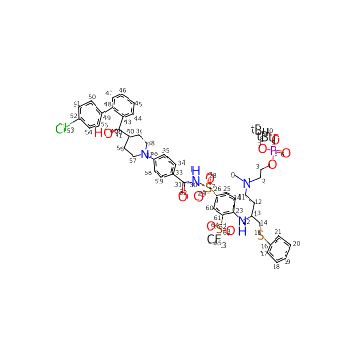 CN(CCOP(=O)(OC(C)(C)C)OC(C)(C)C)CCC(CSc1ccccc1)Nc1ccc(S(=O)(=O)NC(=O)c2ccc(N3CCC([C@@H](O)c4ccccc4-c4ccc(Cl)cc4)CC3)cc2)cc1S(=O)(=O)C(F)(F)F